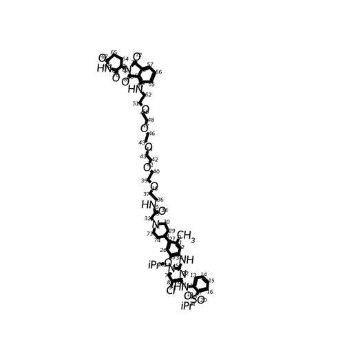 Cc1cc(Nc2ncc(Cl)c(Nc3ccccc3S(=O)(=O)C(C)C)n2)c(OC(C)C)cc1C1CCN(CC(=O)NCCOCCOCCOCCOCCOCCNc2cccc3c2C(=O)N(C2CCC(=O)NC2=O)C3=O)CC1